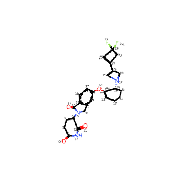 O=C1CCC(N2Cc3cc(O[C@@H]4CCCC[C@H]4N4CC(C5CC(F)(F)C5)C4)ccc3C2=O)C(=O)N1